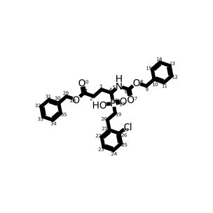 O=C(CCC(NC(=O)OCc1ccccc1)P(=O)(O)CCc1ccccc1Cl)OCc1ccccc1